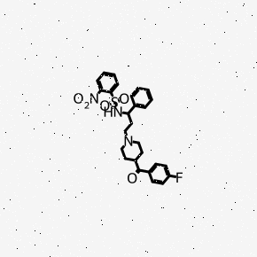 O=C(c1ccc(F)cc1)C1CCN(CCC(NS(=O)(=O)c2ccccc2[N+](=O)[O-])c2ccccc2)CC1